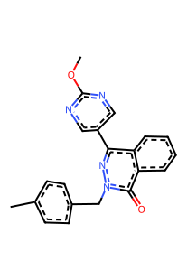 COc1ncc(-c2nn(Cc3ccc(C)cc3)c(=O)c3ccccc23)cn1